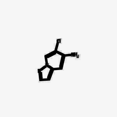 Nc1cc2ccnn2cc1Cl